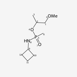 COCC(C)OP(C)(=O)NC1CCC1